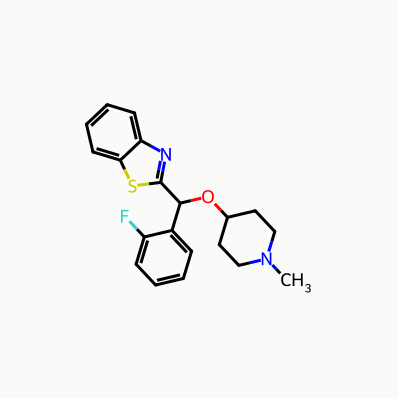 CN1CCC(OC(c2nc3ccccc3s2)c2ccccc2F)CC1